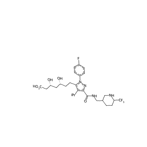 CC(C)c1c(C(=O)NCC2CCC(C(F)(F)F)NC2)nn(-c2ccc(F)cc2)c1CC[C@@H](O)C[C@@H](O)CC(=O)O